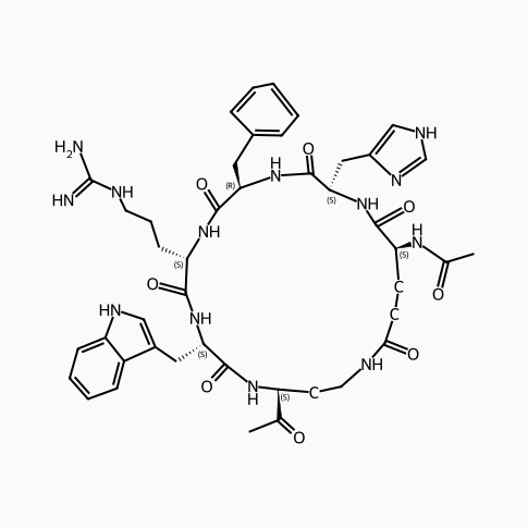 CC(=O)N[C@H]1CCC(=O)NCC[C@@H](C(C)=O)NC(=O)[C@H](Cc2c[nH]c3ccccc23)NC(=O)[C@H](CCCNC(=N)N)NC(=O)[C@@H](Cc2ccccc2)NC(=O)[C@H](Cc2c[nH]cn2)NC1=O